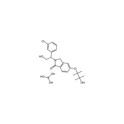 CC(C)(O)C(C)(C)Oc1ccc2c(c1)CN(C(CO)c1cccc(Cl)c1)C2=O.OB(O)O